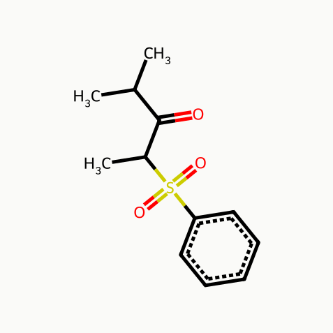 CC(C)C(=O)C(C)S(=O)(=O)c1ccccc1